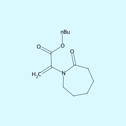 C=C(C(=O)OCCCC)N1CCCCCC1=O